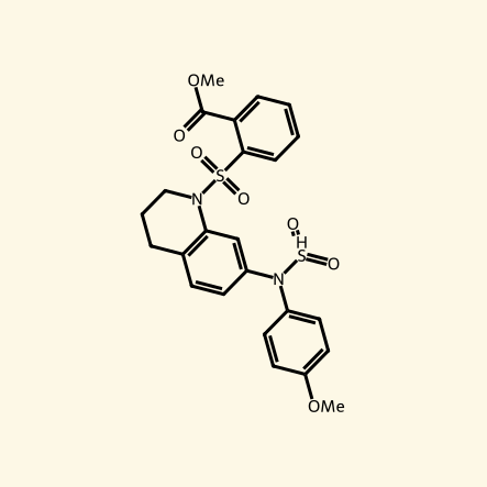 COC(=O)c1ccccc1S(=O)(=O)N1CCCc2ccc(N(c3ccc(OC)cc3)[SH](=O)=O)cc21